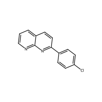 Clc1ccc(-c2ccc3cccnc3n2)cc1